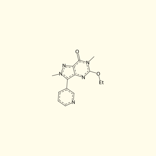 CCOc1nc2c(-c3cccnc3)n(C)nc2c(=O)n1C